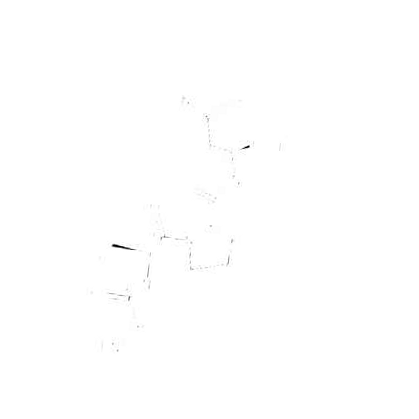 CC(C)C[C@H](NC(=O)CN)C(=O)N1CCC[C@H]1C(=O)N[C@@H](CC(N)=O)C(=O)O